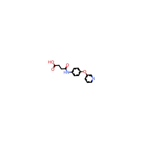 O=C(O)CCC(=O)Nc1ccc(Oc2cccnc2)cc1